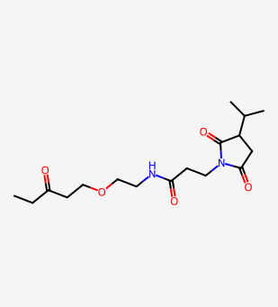 CCC(=O)CCOCCNC(=O)CCN1C(=O)CC(C(C)C)C1=O